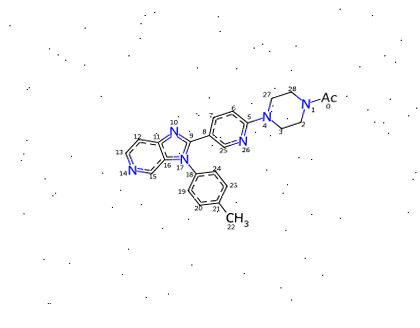 CC(=O)N1CCN(c2ccc(-c3nc4ccncc4n3-c3ccc(C)cc3)cn2)CC1